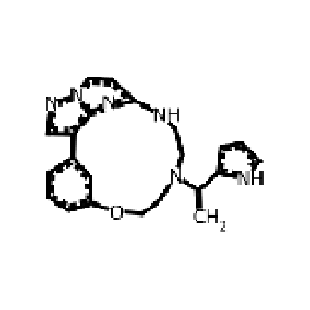 C=C(c1ccc[nH]1)N1CCNc2ccn3ncc(c3n2)-c2cccc(c2)OCC1